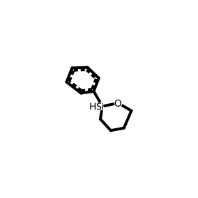 c1ccc([SiH]2CCCCO2)cc1